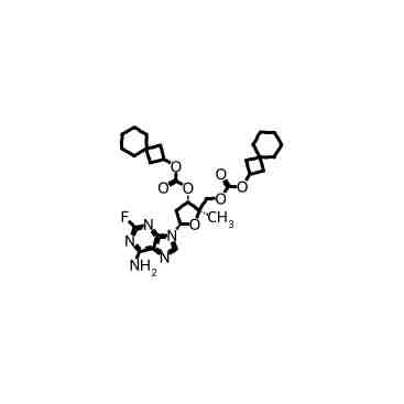 C[C@]1(COC(=O)OC2CC3(CCCCC3)C2)O[C@@H](n2cnc3c(N)nc(F)nc32)C[C@@H]1OC(=O)OC1CC2(CCCCC2)C1